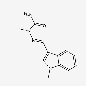 CN(N=Cc1cn(C)c2ccccc12)C(N)=O